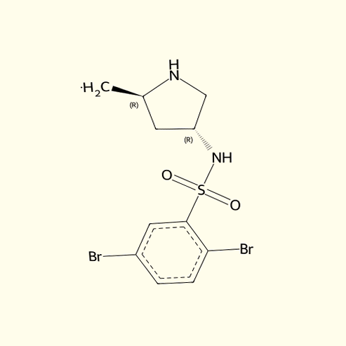 [CH2][C@@H]1C[C@@H](NS(=O)(=O)c2cc(Br)ccc2Br)CN1